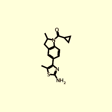 Cc1sc(N)nc1-c1ccc2c(c1)CC(C)N2C(=O)C1CC1